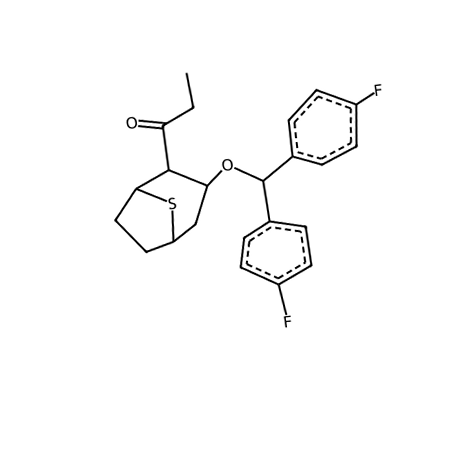 CCC(=O)C1C(OC(c2ccc(F)cc2)c2ccc(F)cc2)CC2CCC1S2